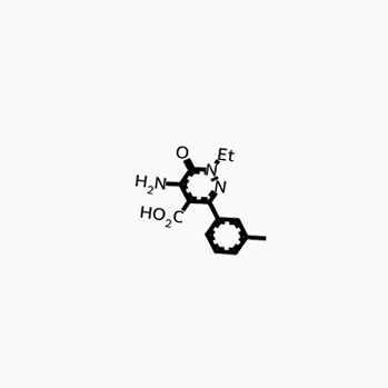 CCn1nc(-c2cccc(C)c2)c(C(=O)O)c(N)c1=O